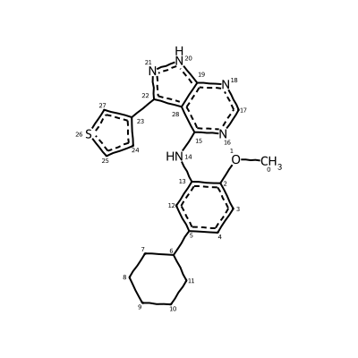 COc1ccc(C2CCCCC2)cc1Nc1ncnc2[nH]nc(-c3ccsc3)c12